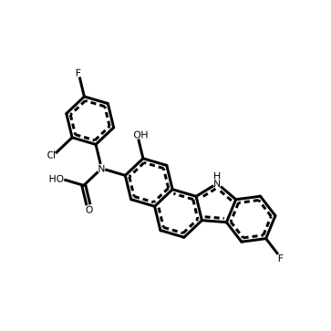 O=C(O)N(c1cc2ccc3c4cc(F)ccc4[nH]c3c2cc1O)c1ccc(F)cc1Cl